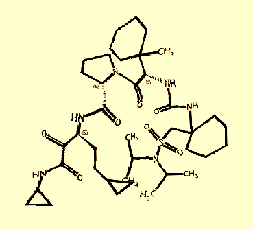 CC(C)N(C(C)C)S(=O)(=O)CC1(NC(=O)N[C@H](C(=O)N2CCC[C@H]2C(=O)N[C@@H](CCC2CC2)C(=O)C(=O)NC2CC2)C2(C)CCCCC2)CCCCC1